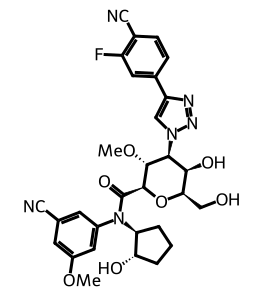 COc1cc(C#N)cc(N(C(=O)[C@@H]2O[C@H](CO)[C@H](O)[C@H](n3cc(-c4ccc(C#N)c(F)c4)nn3)[C@H]2OC)[C@H]2CCC[C@@H]2O)c1